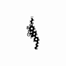 CCCCCC1CCC(c2ccc3c(c2F)c(=O)oc2c(F)c(OCCCC)ccc23)CC1